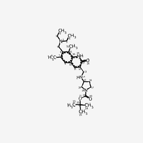 CCN(CC)Cc1c(C)cc2cc(CNC3CCN(C(=O)OC(C)(C)C)C3)c(=O)[nH]c2c1C